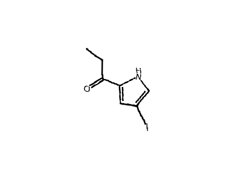 CCC(=O)c1cc(I)c[nH]1